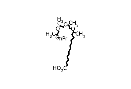 C[CH]COC(C)COC(C)COC(C)COC(C)CCCCCCCCCCCCC(=O)O